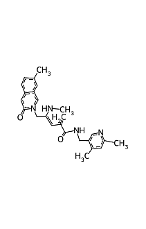 C=C(/C=C(/Cn1cc2cc(C)ccc2cc1=O)NC)C(=O)NCc1cnc(C)cc1C